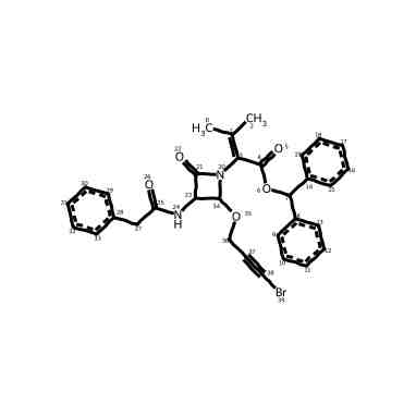 CC(C)=C(C(=O)OC(c1ccccc1)c1ccccc1)N1C(=O)C(NC(=O)Cc2ccccc2)C1OCC#CBr